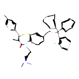 CC(=O)OC1C(=O)N(CCN(C)C)c2ccc(COC(c3ccccc3)(c3ccccc3)c3ccccc3)cc2SC1c1ccc(C)cc1